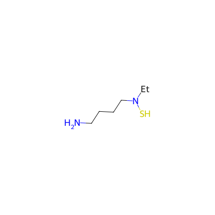 CCN(S)CCCCN